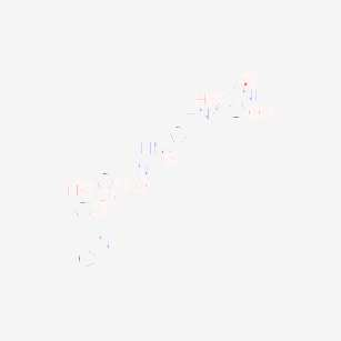 O=C(NC1CCN(C(=O)COc2cccc(C(O)(C(=O)OCC3CCN(Cc4ccccc4)CC3)c3ccccc3)c2)CC1)c1ccc(CCNC[C@H](O)c2ccc(O)c3[nH]c(=O)ccc23)cc1